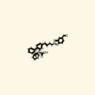 O=Cc1ccc2nn(CCC=Cc3ccc(-c4ccccc4)c(N(C(=O)O)[C@H]4CN5CCC4CC5)c3)nc2c1